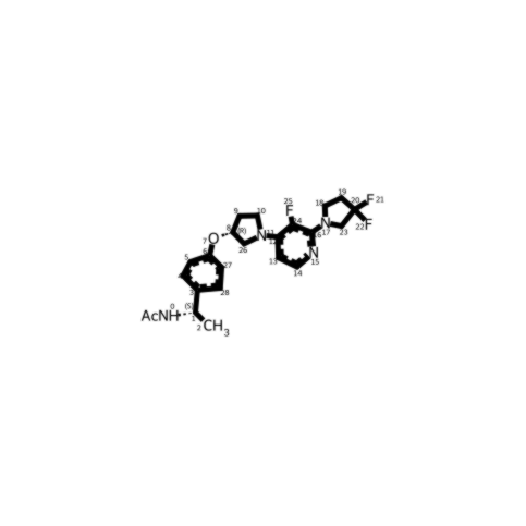 CC(=O)N[C@@H](C)c1ccc(O[C@@H]2CCN(c3ccnc(N4CCC(F)(F)C4)c3F)C2)cc1